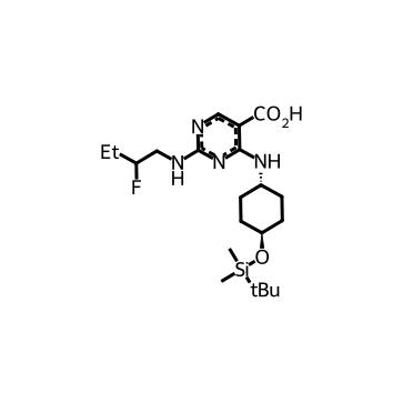 CCC(F)CNc1ncc(C(=O)O)c(N[C@H]2CC[C@H](O[Si](C)(C)C(C)(C)C)CC2)n1